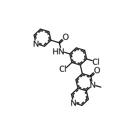 Cn1c(=O)c(-c2c(Cl)ccc(NC(=O)c3cccnc3)c2Cl)cc2cnccc21